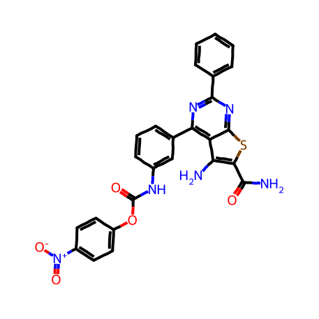 NC(=O)c1sc2nc(-c3ccccc3)nc(-c3cccc(NC(=O)Oc4ccc([N+](=O)[O-])cc4)c3)c2c1N